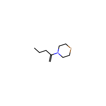 C=C(CCC)N1CCSCC1